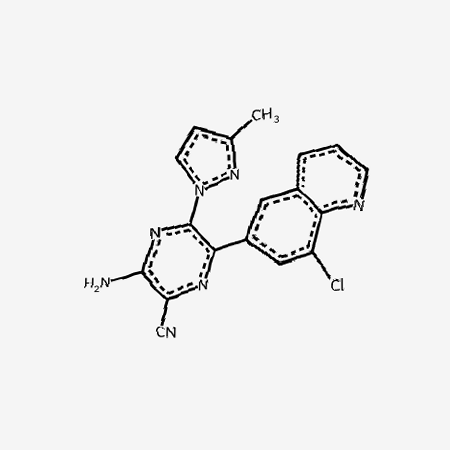 Cc1ccn(-c2nc(N)c(C#N)nc2-c2cc(Cl)c3ncccc3c2)n1